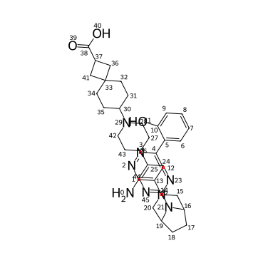 Nc1nnc(-c2ccccc2O)cc1N1CC2CCC(C1)N2c1ncc(C2CCN(C3CCC4(CC3)CC(C(=O)O)C4)CC2)cn1